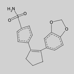 NS(=O)(=O)c1ccc(C2=C(c3ccc4c(c3)OCO4)CCC2)cc1